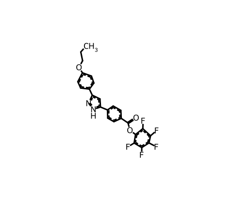 CCCOc1ccc(-c2cc(-c3ccc(C(=O)Oc4c(F)c(F)c(F)c(F)c4F)cc3)[nH]n2)cc1